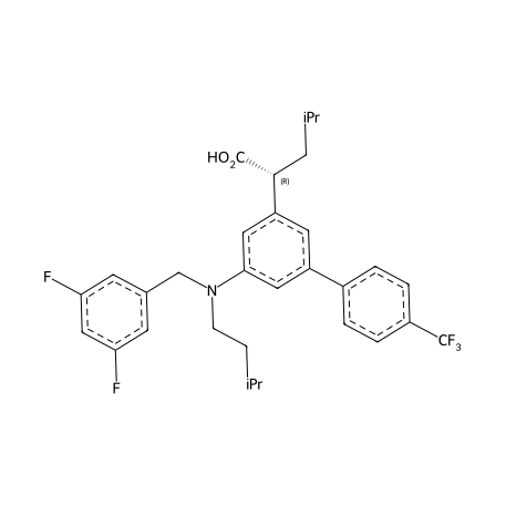 CC(C)CCN(Cc1cc(F)cc(F)c1)c1cc(-c2ccc(C(F)(F)F)cc2)cc([C@@H](CC(C)C)C(=O)O)c1